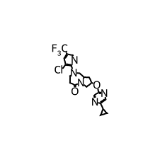 O=C1CCN(c2ncc(C(F)(F)F)cc2Cl)CC2CC(Oc3cnc(C4CC4)cn3)CN12